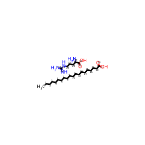 CCCCCCCCCCCCCCCCCCCC(=O)O.N=C(N)NCCCC(N)C(=O)O